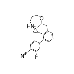 N#Cc1ccc(-c2cccc(CC3CNCCCO3)c2C2CC2)cc1F